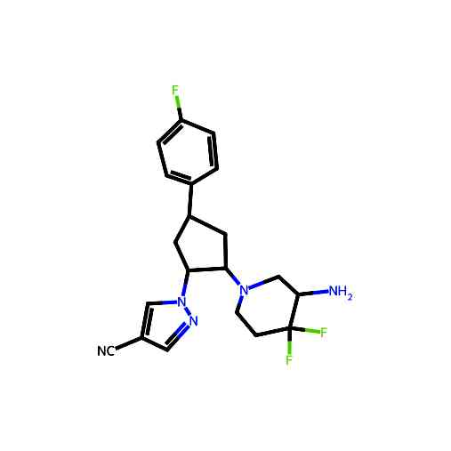 N#Cc1cnn(C2CC(c3ccc(F)cc3)CC2N2CCC(F)(F)C(N)C2)c1